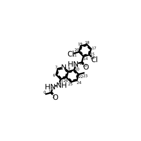 CC(=O)NNc1ccnc2c(NC(=O)c3c(Cl)cccc3Cl)c(C)ccc12